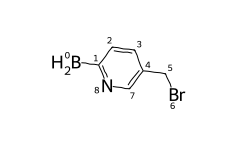 Bc1ccc(CBr)cn1